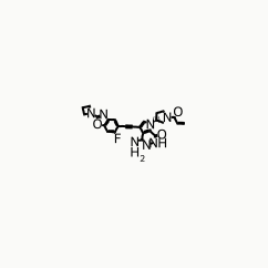 C=CC(=O)N1CC[C@H](n2cc(C#Cc3cc4nc(N5CCC5)oc4cc3F)c3c(N)n[nH]c(=O)c32)C1